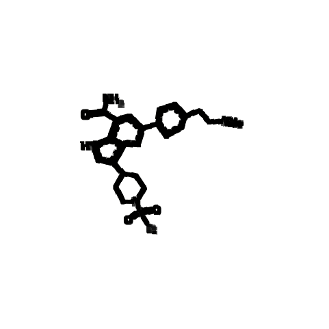 CCS(=O)(=O)N1CCC(c2c[nH]c3c(C(N)=O)cc(-c4ccc(CCNC)cc4)cc23)CC1